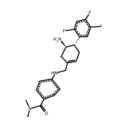 CN(C)C(=O)c1ccc(NCC2=CC[C@@H](c3cc(F)c(F)cc3F)[C@H](N)C2)cc1